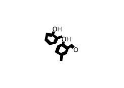 Cc1ccc(O)c(C=O)c1.Cc1ccccc1O